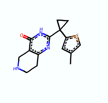 Cc1csc(C2(c3nc4c(c(=O)[nH]3)CNCC4)CC2)c1